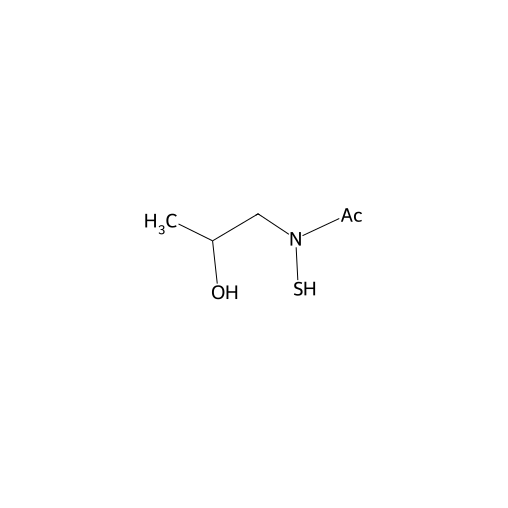 CC(=O)N(S)CC(C)O